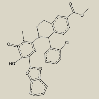 COC(=O)c1ccc2c(c1)CCN(c1nc(-c3nc4ccccc4o3)c(O)c(=O)n1C)C2c1ccccc1Cl